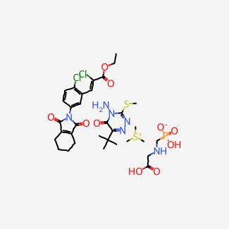 CCOC(=O)/C(Cl)=C/c1cc(N2C(=O)C3=C(CCCC3)C2=O)ccc1Cl.CSc1nnc(C(C)(C)C)c(=O)n1N.C[S+](C)C.O=C(O)CNCP(=O)([O-])O